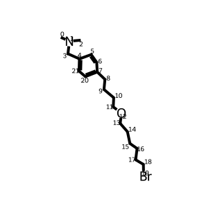 CN(C)Cc1ccc(CCCCOCCCCCCBr)cc1